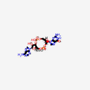 COP1(=O)OC[C@H]2O[C@@H](n3cnc4c(N)ncnc43)C(O)C2OP(=O)(O)OC[C@H]2O[C@@H](n3cnc4c(=O)[nH]c(N)nc43)C(O1)C2O